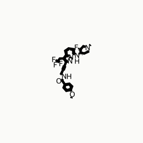 COc1ccc(C(=O)NCC#Cc2nn3c(N[C@@H]4CCN(C)C[C@@H]4F)cccc3c2CC(F)(F)F)cc1